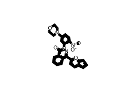 O=c1c2ccccc2c(-c2ccc3cccc-3o2)nn1-c1cc(N2CCOCC2)ccc1[N+](=O)[O-]